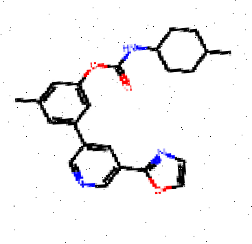 Cc1cc(OC(=O)NC2CCC(C)CC2)cc(-c2cncc(-c3ncco3)c2)c1